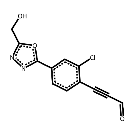 O=CC#Cc1ccc(-c2nnc(CO)o2)cc1Cl